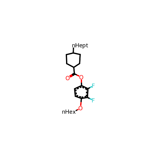 CCCCCCCC1CCC(C(=O)Oc2ccc(OCCCCCC)c(F)c2F)CC1